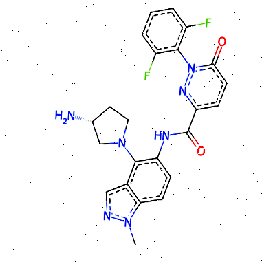 Cn1ncc2c(N3CC[C@@H](N)C3)c(NC(=O)c3ccc(=O)n(-c4c(F)cccc4F)n3)ccc21